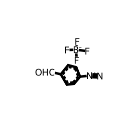 F[B-](F)(F)F.N#[N+]c1ccc(C=O)cc1